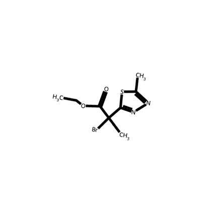 CCOC(=O)C(C)(Br)c1nnc(C)s1